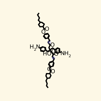 CCCCC1CCC(C(=O)Oc2ccc(/C=C/C(=O)CC(Cc3ccc(N)cc3)(Cc3ccc(N)cc3)C(O)(O)C(=O)/C=C/c3ccc(OC(=O)C4CCC(CCCC)CC4)cc3)cc2)CC1